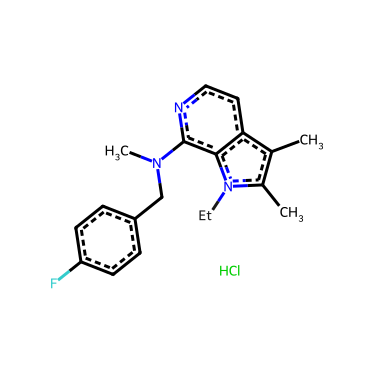 CCn1c(C)c(C)c2ccnc(N(C)Cc3ccc(F)cc3)c21.Cl